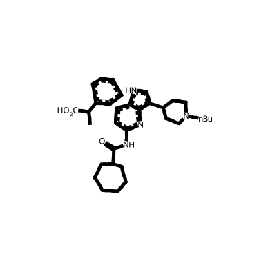 CC(C(=O)O)c1ccccc1.CCCCN1CCC(c2c[nH]c3ccc(NC(=O)C4CCCCCC4)nc23)CC1